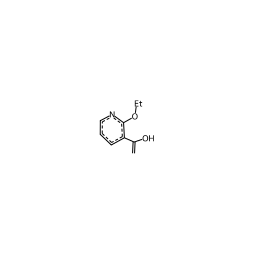 C=C(O)c1cccnc1OCC